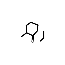 CC1CCCCC1=O.CCC